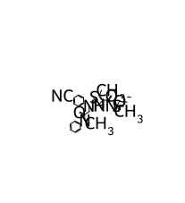 Cc1sc(N(CC(=O)N(C)c2ccccc2)c2ccc(C#N)cc2)nc1C(=O)N[S+](C)[O-]